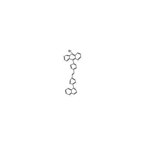 Brc1c2ccccc2c(-c2ccc(/C=C/c3ccc(-c4cccc5ccccc45)cc3)cc2)c2ccccc12